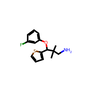 CC(C)(CN)C(Oc1cccc(F)c1)c1cccs1